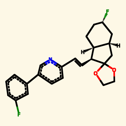 Fc1cccc(-c2ccc(C=C[C@H]3[C@H]4CC[C@H](F)C[C@H]4CC34OCCO4)nc2)c1